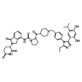 CCc1nnc(-c2cc(C(C)C)c(O)cc2O)n1-c1ccc(CN2CCC(C(=O)N3CCC[C@H]3C(=O)Nc3cccc4c3CN(C3CCC(=O)NC3=O)C4=O)CC2)cc1